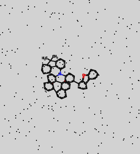 CC1(C)c2ccccc2-c2c(N(c3ccc(-c4cccc5c4oc4ccccc45)cc3)c3ccccc3-c3cccc4cccc(-c5ccccc5)c34)cccc21